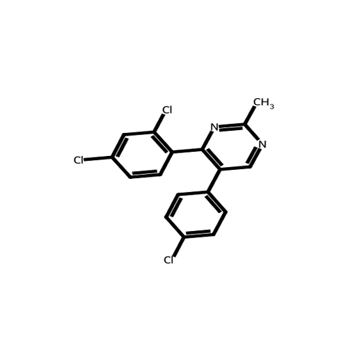 Cc1ncc(-c2ccc(Cl)cc2)c(-c2ccc(Cl)cc2Cl)n1